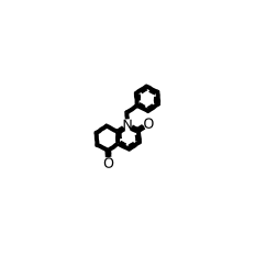 O=C1CCCc2c1ccc(=O)n2Cc1ccccc1